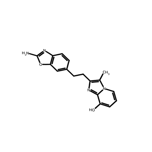 Cc1c(CCc2ccc3nc(N)oc3c2)nc2c(O)cccn12